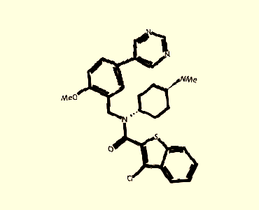 CN[C@H]1CC[C@H](N(Cc2cc(-c3cncnc3)ccc2OC)C(=O)c2sc3ccccc3c2Cl)CC1